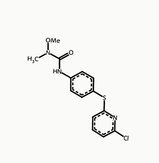 CON(C)C(=O)Nc1ccc(Sc2cccc(Cl)n2)cc1